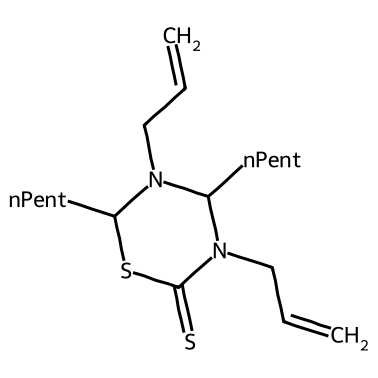 C=CCN1C(=S)SC(CCCCC)N(CC=C)C1CCCCC